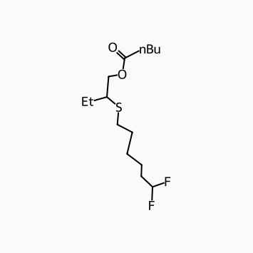 CCCCC(=O)OCC(CC)SCCCCCC(F)F